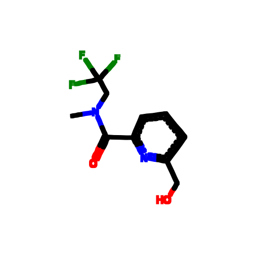 CN(CC(F)(F)F)C(=O)c1cccc(CO)n1